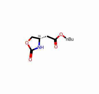 CCCCOC(=O)C[C@H]1COC(=O)N1